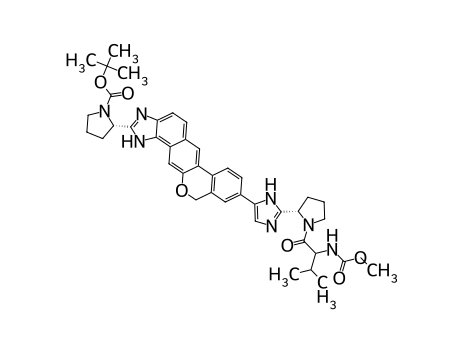 COC(=O)NC(C(=O)N1CCC[C@H]1c1ncc(-c2ccc3c(c2)COc2cc4c(ccc5nc([C@@H]6CCCN6C(=O)OC(C)(C)C)[nH]c54)cc2-3)[nH]1)C(C)C